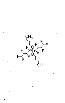 CCCC[O][Sn]([O]CCCC)([CH](F)C(F)C(F)C(F)F)[CH](F)C(F)C(F)C(F)F